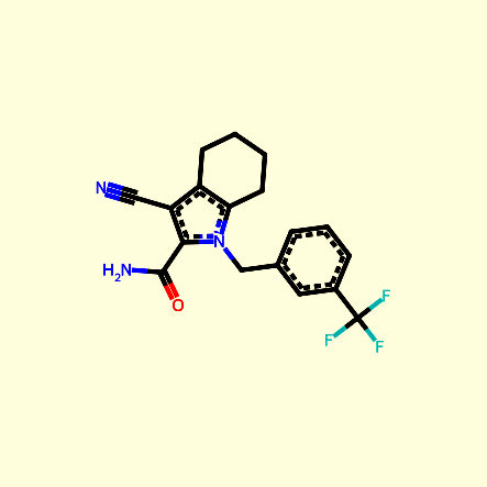 N#Cc1c2c(n(Cc3cccc(C(F)(F)F)c3)c1C(N)=O)CCCC2